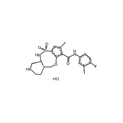 Cc1cc(NC(=O)c2c3c(cn2C)S(=O)(=O)NC2CNCCC2CO3)ccc1F.Cl